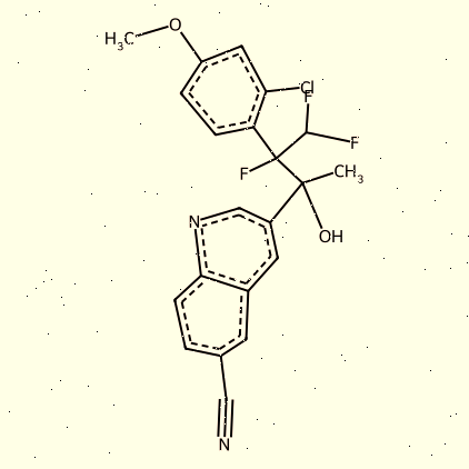 COc1ccc(C(F)(C(F)F)C(C)(O)c2cnc3ccc(C#N)cc3c2)c(Cl)c1